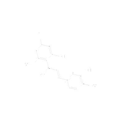 COc1ccc(/C=C/C(=O)c2c(O)cc(O)cc2OC)cc1O